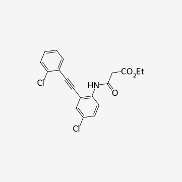 CCOC(=O)CC(=O)Nc1ccc(Cl)cc1C#Cc1ccccc1Cl